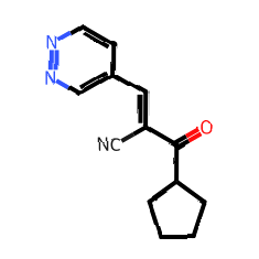 N#C/C(=C\c1ccnnc1)C(=O)C1CCCC1